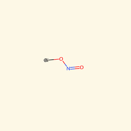 O=N[O][Bi]